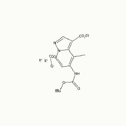 CCOC(=O)c1cnn2ccc(NC(=O)OC(C)(C)C)c(C)c12.O=C([O-])[O-].[K+].[K+]